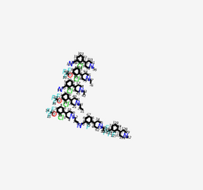 C=CCN1CCC(c2cccc(OC(F)(F)F)c2Cl)CC1.CCCN1CCC(c2cccc(OC(F)(F)F)c2Cl)CC1.CCN1CCC(c2cccc(C#N)c2Cl)CC1.CCN1CCC(c2cccc(C#N)c2F)CC1.CCN1CCC(c2cccc(OC(F)(F)F)c2Cl)CC1.CN1CCC(c2cccc(C#N)c2Cl)CC1.CN1CCC(c2cccc(C(F)(F)F)c2F)CC1